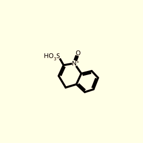 O=[N+]1C(S(=O)(=O)O)=CCc2ccccc21